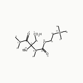 CN(C)C(=O)C(CC(=O)O)(N(C)C(=O)OCC[Si](C)(C)C)C(C)(C)C